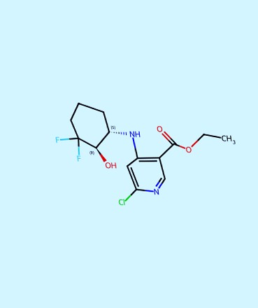 CCOC(=O)c1cnc(Cl)cc1N[C@H]1CCCC(F)(F)[C@@H]1O